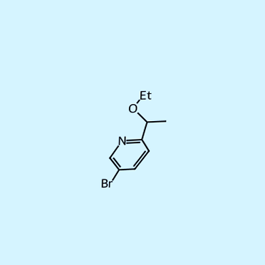 CCOC(C)c1ccc(Br)cn1